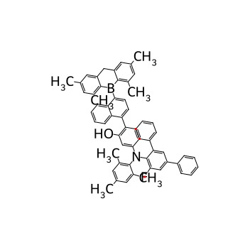 Cc1cc(C)c(N(c2ccc(-c3ccc(B4c5c(C)cc(C)cc5Cc5cc(C)cc(C)c54)c4ccccc34)c(O)c2)c2c(F)cc(-c3ccccc3)cc2-c2ccccc2)c(C)c1